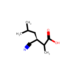 CC(C)C[C@H](C#N)C(C)C(=O)O